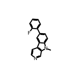 Cn1c2ccc(-c3ccccc3F)cc2c2ccncc21